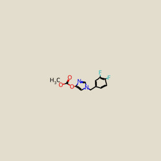 COC(=O)Oc1cn(Cc2ccc(F)c(F)c2)cn1